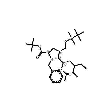 CCC(CC)C[C@H](NC(C)=O)[C@H]1[C@H](CO[Si](C)(C)C(C)(C)C)C[C@H](C(=O)OC(C)(C)C)N1Cc1ccccc1